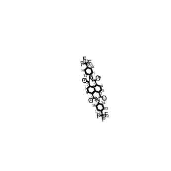 O=C1c2ccc3c4c(ccc(c24)C(=O)N1c1ccc(C(F)(F)F)cc1)C(=O)N(c1ccc(C(F)(F)F)cc1)C3=O